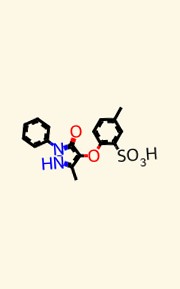 Cc1ccc(Oc2c(C)[nH]n(-c3ccccc3)c2=O)c(S(=O)(=O)O)c1